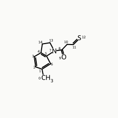 Cc1ccc2c(c1)N(C(=O)CC=S)CC2